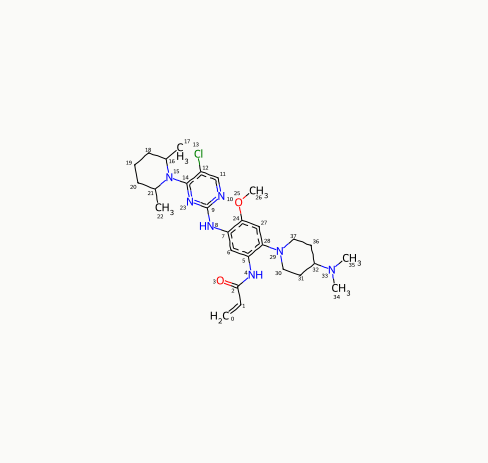 C=CC(=O)Nc1cc(Nc2ncc(Cl)c(N3C(C)CCCC3C)n2)c(OC)cc1N1CCC(N(C)C)CC1